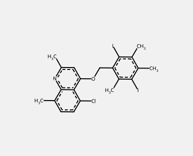 Cc1cc(OCc2c(C)c(I)c(C)c(C)c2I)c2c(Cl)ccc(C)c2n1